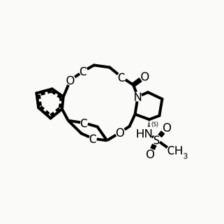 CS(=O)(=O)N[C@H]1CCCN2C(=O)CCCCOc3ccccc3C3CCC(CC3)OCC12